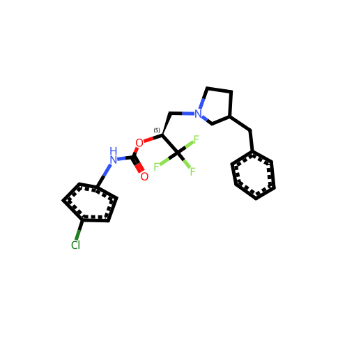 O=C(Nc1ccc(Cl)cc1)O[C@@H](CN1CCC(Cc2ccccc2)C1)C(F)(F)F